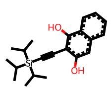 CC(C)[Si](C#Cc1c(O)cc2ccccc2c1O)(C(C)C)C(C)C